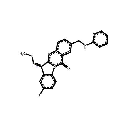 CO/N=C1/c2cc(F)ccc2-n2c1nc1ccc(CNc3ccccn3)cc1c2=O